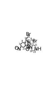 O=Nc1ccc(N(CCBr)CCBr)c(S(=O)(=O)N2CCNCC2)c1